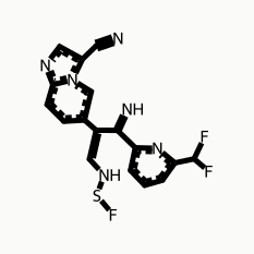 N#Cc1cnc2ccc(/C(=C/NSF)C(=N)c3cccc(C(F)F)n3)cn12